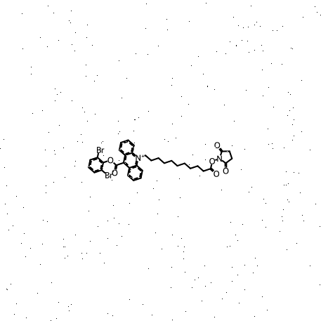 O=C(CCCCCCCCCC[n+]1c2ccccc2c(C(=O)Oc2c(Br)cccc2Br)c2ccccc21)ON1C(=O)CCC1=O